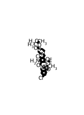 CCS(=O)(=O)c1ccc(Cl)cc1CNC(=O)c1cc(OC(F)(F)F)c(CN2CCN(C(=O)OC(C)(C)C)CC2)c(Cl)c1N